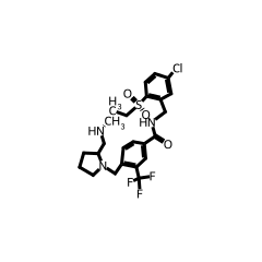 CCS(=O)(=O)c1ccc(Cl)cc1CNC(=O)c1ccc(CN2CCCC2CNC)c(C(F)(F)F)c1